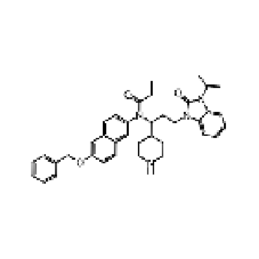 C=C(C)n1c(=O)n(CCC(C2CCNCC2)N(C(=O)CC)c2ccc3cc(OCc4ccccc4)ccc3c2)c2ccccc21